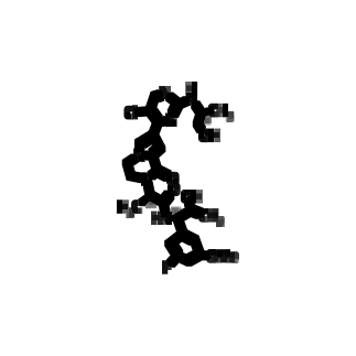 C=C(O)[C@@H](NC(=O)[C@@H](C)N1CCn2cc(-c3nc(N[C@@H](C)CO)ncc3Cl)cc2C1=O)c1cc(F)cc(OC)c1